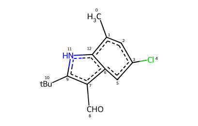 Cc1cc(Cl)cc2c(C=O)c(C(C)(C)C)[nH]c12